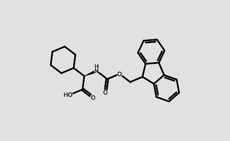 O=C(N[C@@H](C(=O)O)C1CCCCC1)OCC1c2ccccc2-c2ccccc21